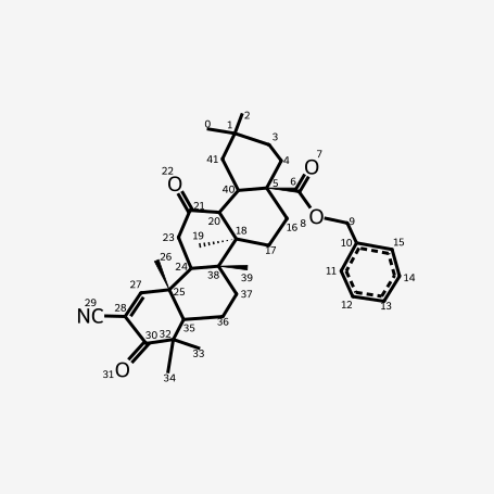 CC1(C)CC[C@]2(C(=O)OCc3ccccc3)CC[C@]3(C)C(C(=O)CC4[C@@]5(C)C=C(C#N)C(=O)C(C)(C)C5CC[C@]43C)C2C1